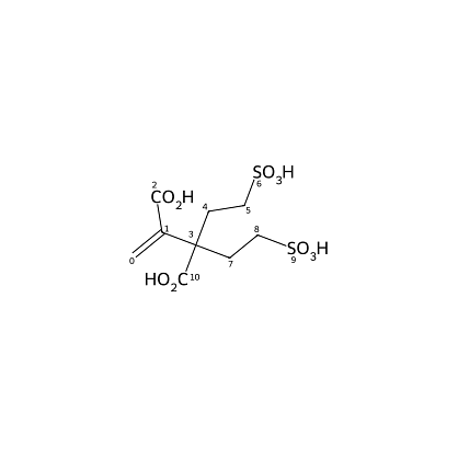 C=C(C(=O)O)C(CCS(=O)(=O)O)(CCS(=O)(=O)O)C(=O)O